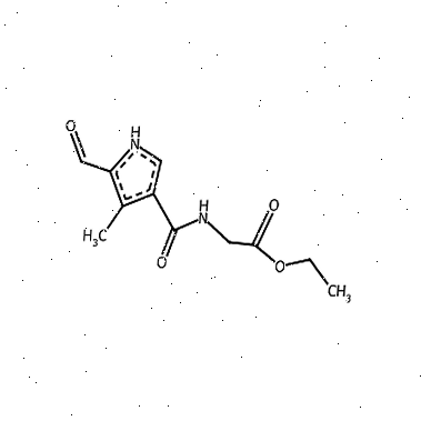 CCOC(=O)CNC(=O)c1c[nH]c(C=O)c1C